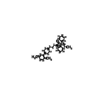 CCSC(C(=O)NCCCN1CCN(c2cc(C)ccc2C)CC1)(c1ccccc1)c1ccccc1